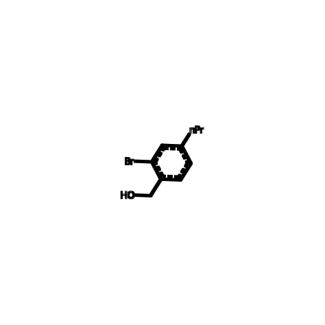 CCCc1ccc(CO)c(Br)c1